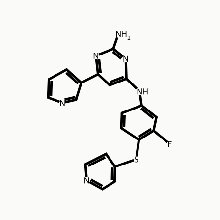 Nc1nc(Nc2ccc(Sc3ccncc3)c(F)c2)cc(-c2cccnc2)n1